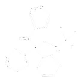 O=C(CC(C(=O)c1ccccc1)(c1ccccc1)c1ccccc1)C(F)(F)F